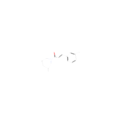 O=C(O)C1CCCN(C(=O)/C=C/c2cc[c]c([N+](=O)[O-])c2)C1